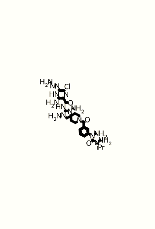 CC(C)N(N)C(=O)N(N)c1cccc(C(=O)N2CCC3(CC2)CN(N)C(NC(=O)C2=NC(Cl)=C(N=NN)NC2N)N3N)c1